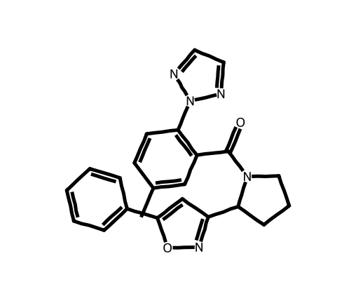 Cc1ccc(-n2nccn2)c(C(=O)N2CCCC2c2cc(-c3ccccc3)on2)c1